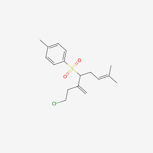 C=C(CCCl)C(CC=C(C)C)S(=O)(=O)c1ccc(C)cc1